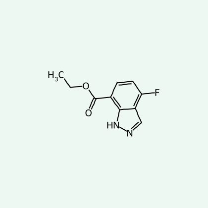 CCOC(=O)c1ccc(F)c2cn[nH]c12